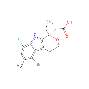 CCC1(CC(=O)O)OCCc2c1[nH]c1c(F)cc(C)c(Br)c21